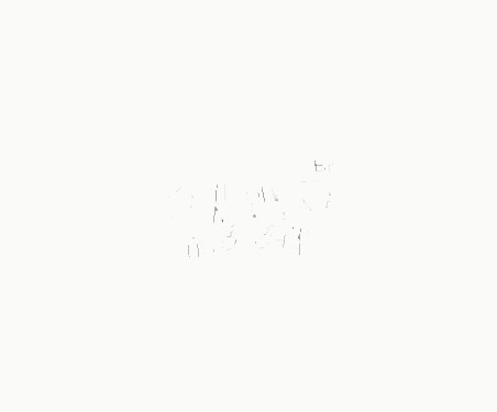 C[C@H](NC(=O)[C@H](O)[C@@H](O)C(=O)NC1c2ccccc2C[C@H]1O)c1ccc(Br)cc1